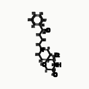 CCC1NC(=O)COC12CCN(CCCC(=O)c1ccccc1)CC2